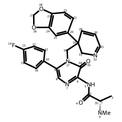 CN[C@@H](C)C(=O)Nc1ncc(-c2ccc(F)cc2)n(CC2(c3ccc4c(c3)OCO4)C=CC=NC2)c1=O